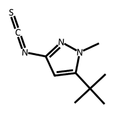 Cn1nc(N=C=S)cc1C(C)(C)C